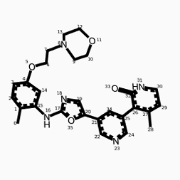 Cc1ccc(OCCN2CCOCC2)cc1Nc1ncc(-c2cncc(-c3c(C)cc[nH]c3=O)c2)o1